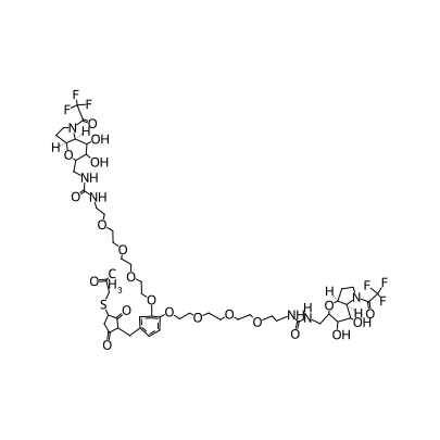 CC(=O)CSC1CC(=O)C(Cc2ccc(OCCOCCOCCOCCNC(=O)NCC3O[C@H]4CCN(C(=O)C(F)(F)F)[C@H]4C(O)C3O)c(OCCOCCOCCOCCNC(=O)NCC3O[C@H]4CCN(C(=O)C(F)(F)F)[C@H]4C(O)C3O)c2)C1=O